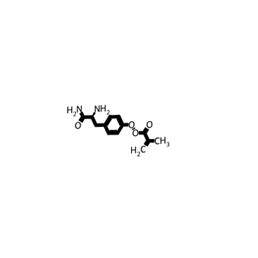 C=C(C)C(=O)OOc1ccc(C[C@H](N)C(N)=O)cc1